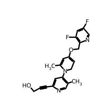 CC1=CC(OCc2ncc(F)cc2F)=CCN1c1cc(C#CCO)ncc1C